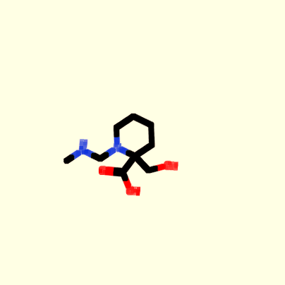 CNCN1CCCCC1(CO)C(=O)O